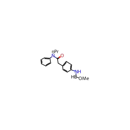 CCCN(C(=O)Cc1ccc(NBOC)cc1)c1ccccc1